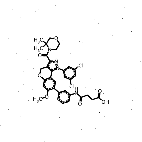 COc1cc2c(cc1-c1cccc(NC(=O)CCC(=O)O)c1)-c1c(c(C(=O)N3CCOCC3(C)C)nn1-c1cc(Cl)cc(Cl)c1)CO2